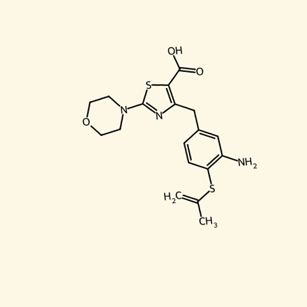 C=C(C)Sc1ccc(Cc2nc(N3CCOCC3)sc2C(=O)O)cc1N